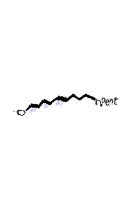 CCCCCCCC/C=C/C=C/C=C/[O]